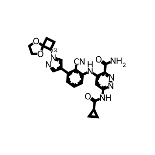 N#Cc1c(Nc2cc(NC(=O)C3CC3)nnc2C(N)=O)cccc1-c1cnn([C@H]2CCC23OCCO3)c1